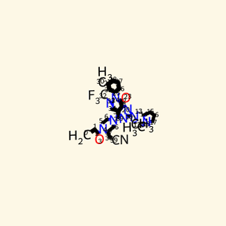 C=CC(=O)N1CCN(c2nc(N(C)C[C@@H]3CCCN3C)nc3c(=O)n(-c4cccc(C)c4C(F)(F)F)ncc23)CC1CC#N